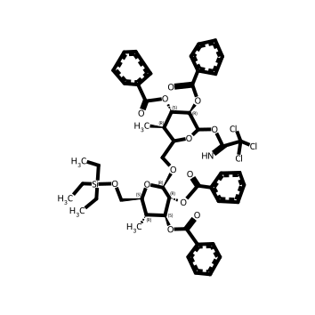 CC[Si](CC)(CC)OC[C@H]1O[C@@H](OCC2OC(OC(=N)C(Cl)(Cl)Cl)[C@H](OC(=O)c3ccccc3)[C@@H](OC(=O)c3ccccc3)[C@@H]2C)[C@H](OC(=O)c2ccccc2)[C@@H](OC(=O)c2ccccc2)[C@@H]1C